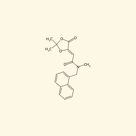 CN(Cc1cccc2ccccc12)C(=O)C=C1OC(C)(C)OC1=O